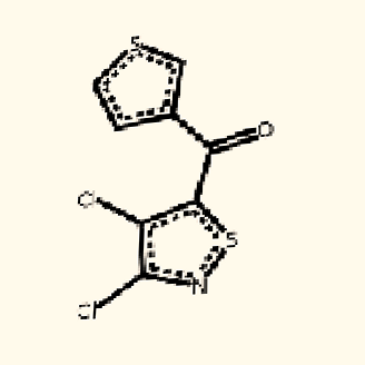 O=C(c1ccsc1)c1snc(Cl)c1Cl